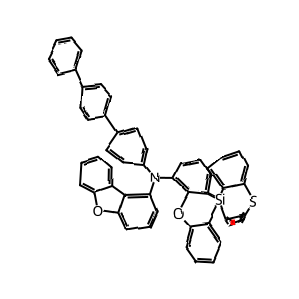 c1ccc(-c2ccc(-c3ccc(N(c4cccc5c4Oc4ccccc4[Si]54c5ccccc5Sc5ccccc54)c4cccc5oc6ccccc6c45)cc3)cc2)cc1